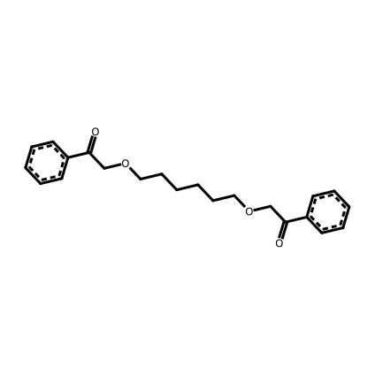 O=C(COCCCCCCOCC(=O)c1ccccc1)c1ccccc1